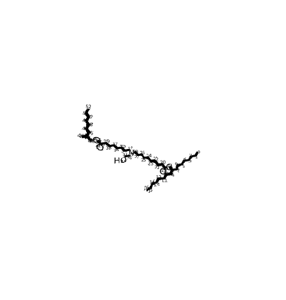 CCCCCCCCC(CCCCCCCC)OC(=O)CCCCCCCCCN(CCO)CCCCCCCC(=O)OCC(C)CCCCCCC